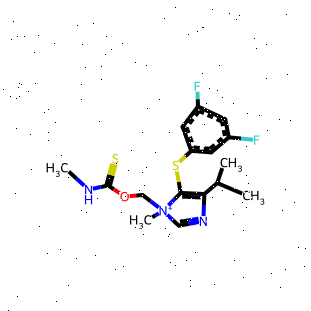 CNC(=S)OC[N+]1(C)C=NC(C(C)C)=C1Sc1cc(F)cc(F)c1